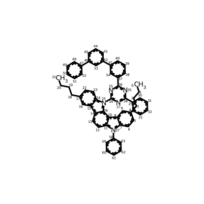 CCCCc1ccc2c(c1)c1c(ccc3c4cc(CCCC)ccc4n(-c4nc(-c5ccccc5)nc(-c5cccc(-c6cccc(-c7ccccc7)c6)c5)n4)c31)n2-c1ccccc1